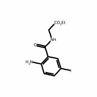 CCOC(=O)CNC(=O)c1cc(I)ccc1N